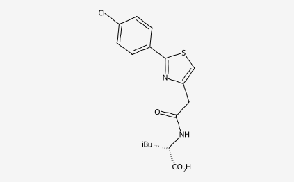 CC[C@@H](C)[C@H](NC(=O)Cc1csc(-c2ccc(Cl)cc2)n1)C(=O)O